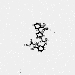 CCSC(=O)NC(=N)c1cccc(CC(CC)N(C(=O)O)c2ccc(-c3ccccc3S(N)(=O)=O)cc2)c1